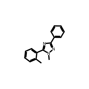 Cc1ccccc1-c1nc(-c2ccccc2)nn1C